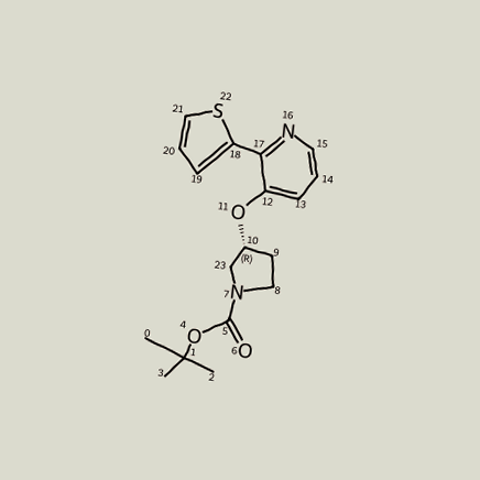 CC(C)(C)OC(=O)N1CC[C@@H](Oc2cccnc2-c2cccs2)C1